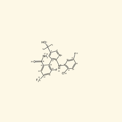 CC(C)(O)c1cnc(Nc2cc(F)ccc2Cl)c(-c2c(F)cc(C(F)(F)F)cc2C(N)=O)c1